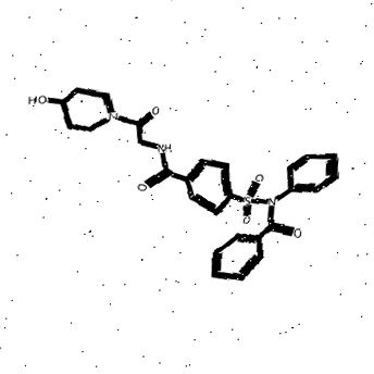 O=C(NCC(=O)N1CCC(O)CC1)c1ccc(S(=O)(=O)N(C(=O)c2ccccc2)c2ccccc2)cc1